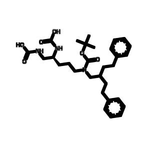 CC(C)(C)OC(=O)N(CCC[C@@H](CNC(=O)O)NC(=O)O)CC(CCc1ccccc1)CCc1ccccc1